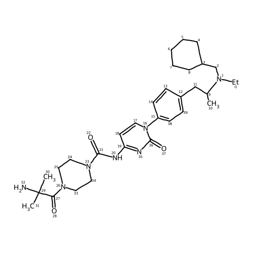 CCN(CC1CCCCC1)C(C)Cc1ccc(-n2ccc(NC(=O)N3CCN(C(=O)C(C)(C)N)CC3)nc2=O)cc1